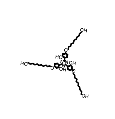 OCCCCCCCCCCCOc1ccc(-c2nc(-c3ccc(OCCCCCCCCCCCO)cc3O)nc(-c3ccc(OCCCCCCCCCCCO)cc3O)n2)c(O)c1